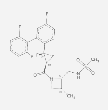 C[C@@H]1CN(C(=O)[C@@H]2C[C@@]2(F)c2ccc(F)cc2-c2c(F)cccc2F)[C@@H]1CNS(C)(=O)=O